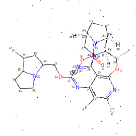 C[C@@H]1Oc2nc(Cl)c(F)c3nc(OCC4CC(F)C5CCCN45)nc(c23)N2C[C@H]3CC[C@@H]([C@@H]12)N3C(=O)OC(C)(C)C